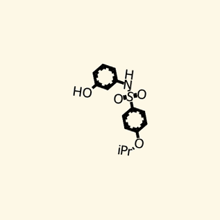 CC(C)Oc1ccc(S(=O)(=O)Nc2cccc(O)c2)cc1